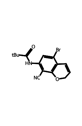 CC(C)(C)C(=O)Nc1cc(Br)c2c(c1C#N)OCC=C2